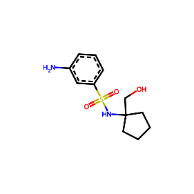 Nc1cccc(S(=O)(=O)NC2(CO)CCCC2)c1